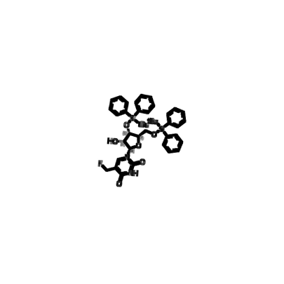 CC(C)(C)[Si](OC[C@H]1O[C@@H](n2cc(CF)c(=O)[nH]c2=O)[C@H](O)[C@@H]1O[Si](c1ccccc1)(c1ccccc1)C(C)(C)C)(c1ccccc1)c1ccccc1